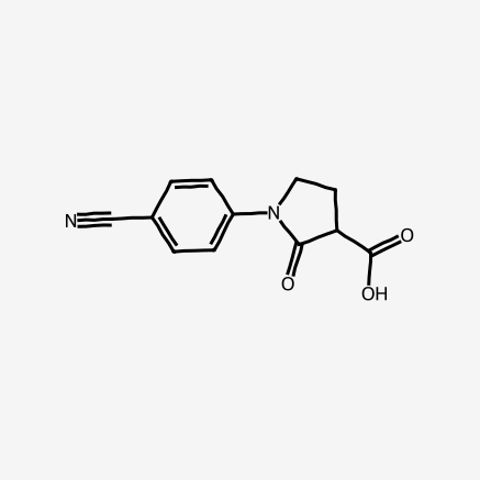 N#Cc1ccc(N2CCC(C(=O)O)C2=O)cc1